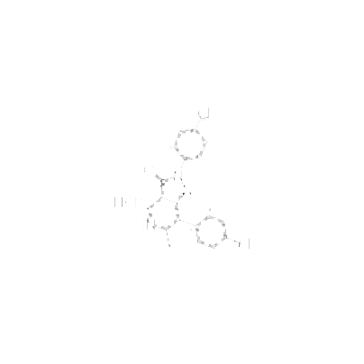 Cc1[nH]cc2c(=O)n(-c3ccc(Cl)cc3)nc-2c1-c1ccc(Cl)cc1.Cl